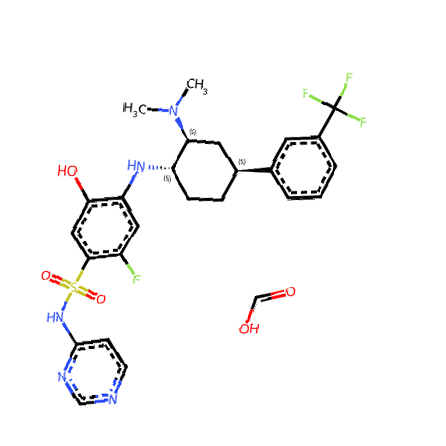 CN(C)[C@H]1C[C@@H](c2cccc(C(F)(F)F)c2)CC[C@@H]1Nc1cc(F)c(S(=O)(=O)Nc2ccncn2)cc1O.O=CO